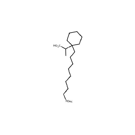 CCCCCCCCCCCCCCCCCCC1(C(C)C(=O)O)CCCCC1